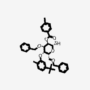 Cc1ccc(C(=O)O[C@@H]2[C@@H](OCc3ccccc3)[C@@H](Oc3cc(C(C)(C)C)ccc3C)[C@@H](COCc3ccccc3)O[C@H]2S)cc1